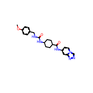 COc1ccc(CNC(=O)NC2CCC(C(=O)Nc3ccn4cnnc4c3)CC2)cc1